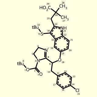 CC(C)(C)OC(=O)N1CCN=C1C(Cc1ccc(Cl)cc1)Oc1ccc2[nH]c(CC(C)(C)C(=O)O)c(SC(C)(C)C)c2c1